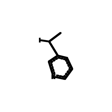 CC(I)c1cccnc1